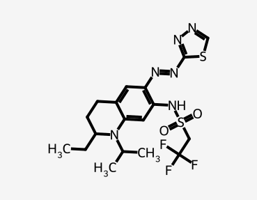 CCC1CCc2cc(N=Nc3nncs3)c(NS(=O)(=O)CC(F)(F)F)cc2N1C(C)C